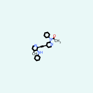 CC(=O)N(c1ccccc1)c1cc(C#Cc2nccc(C)c2Nc2ccccc2)ccn1